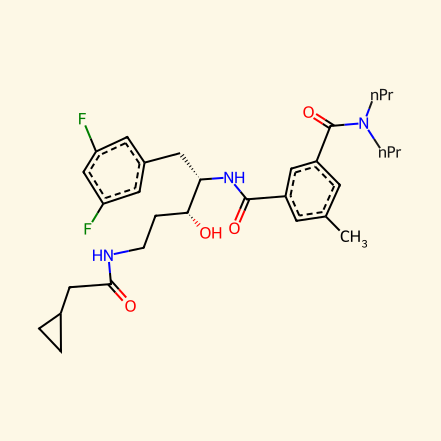 CCCN(CCC)C(=O)c1cc(C)cc(C(=O)N[C@@H](Cc2cc(F)cc(F)c2)[C@H](O)CCNC(=O)CC2CC2)c1